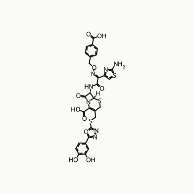 Nc1nc(C(=NOCc2ccc(C(=O)O)cc2)C(=O)N[C@@H]2C(=O)N3C(C(=O)O)=C(CSc4nnc(-c5ccc(O)c(O)c5)o4)CS[C@@H]23)cs1